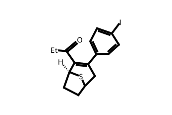 CCC(=O)C1=C(c2ccc(I)cc2)CC2CC[C@@H]1S2